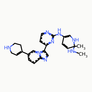 CNC1(C)C=CC(Nc2nccc(-c3cnc4ccc(C5=CCNCC5)cn34)n2)=CN1